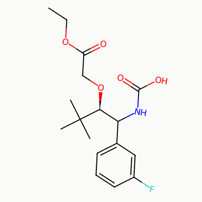 CCOC(=O)CO[C@@H](C(NC(=O)O)c1cccc(F)c1)C(C)(C)C